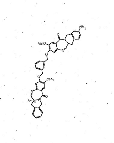 COc1cc2c(cc1OCc1cccc(COc3cc4c(cc3OC)C(=O)N3Cc5ccccc5C[C@H]3C=N4)n1)N=CC1Cc3ccc(N)cc3CN1C2=O